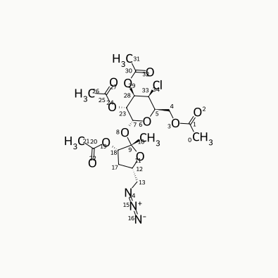 CC(=O)OC[C@H]1O[C@H](O[C@]2(C)O[C@H](CN=[N+]=[N-])C[C@@H]2OC(C)=O)[C@H](OC(C)=O)[C@@H](OC(C)=O)[C@H]1Cl